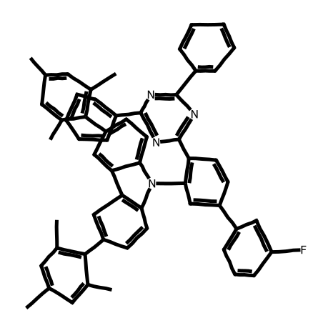 Cc1cc(C)c(-c2ccc3c(c2)c2cc(-c4c(C)cc(C)cc4C)ccc2n3-c2cc(-c3cccc(F)c3)ccc2-c2nc(-c3ccccc3)nc(-c3ccccc3)n2)c(C)c1